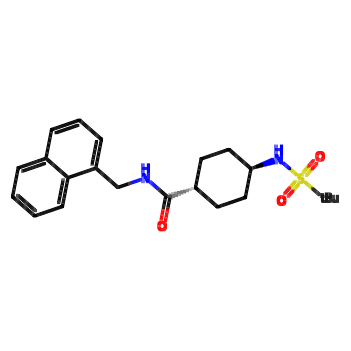 CC(C)(C)S(=O)(=O)N[C@H]1CC[C@H](C(=O)NCc2cccc3ccccc23)CC1